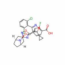 O=C(O)c1ccc(-c2nc(N3[C@@H]4CC[C@H]3C[C@@H](OCc3c(-c5c(Cl)cccc5Cl)noc3C3CC3)C4)no2)cc1F